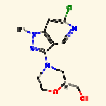 CC(C)n1nc(N2CCO[C@@H](CO)C2)c2cnc(Cl)cc21